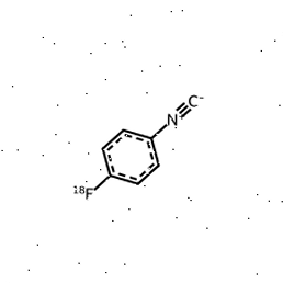 [C-]#[N+]c1ccc([18F])cc1